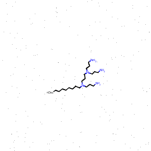 CCCCCCCCCCCCCCCCCCN(CCCN)CCCN(CCCN)CCCN